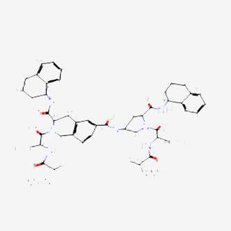 CN[C@@H](C)C(=O)NC(C(=O)N1Cc2ccc(C(=O)NC3CC(C(=O)NC4CCCc5ccccc54)N(C(=O)C(NC(=O)[C@H](C)NC)C(C)(C)C)C3)cc2CC1C(=O)NC1CCCc2ccccc21)C(C)(C)C